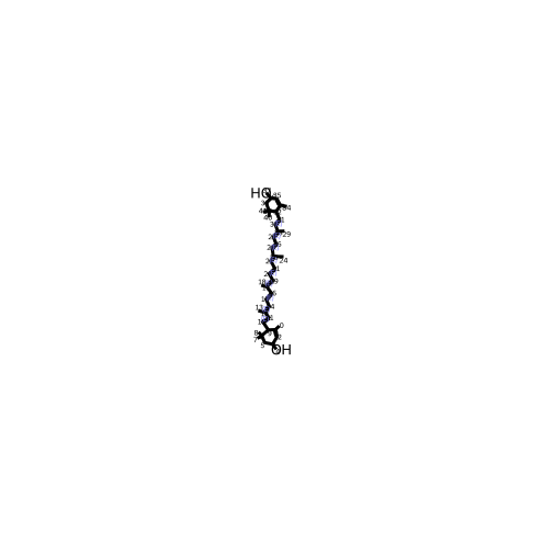 CC1=CC(O)CC(C)(C)C1/C=C/C(C)=C/C=C/C(C)=C/C=C/C=C(C)/C=C/C=C(C)/C=C/C1C(C)=CC(O)CC1(C)C